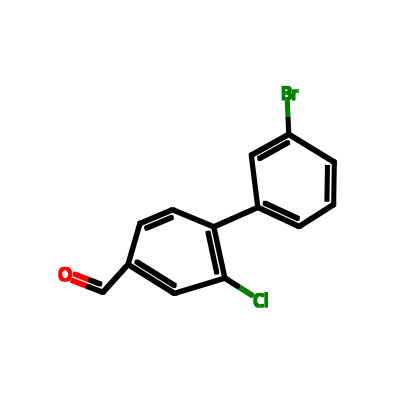 O=Cc1ccc(-c2cccc(Br)c2)c(Cl)c1